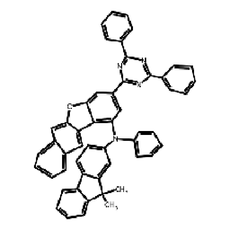 CC1(C)c2ccccc2-c2ccc(N(c3ccccc3)c3cc(-c4nc(-c5ccccc5)nc(-c5ccccc5)n4)cc4oc5cc6ccccc6cc5c34)cc21